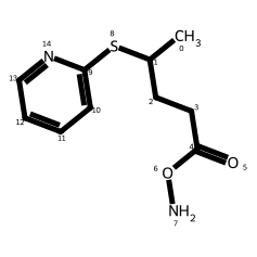 CC(CCC(=O)ON)Sc1ccccn1